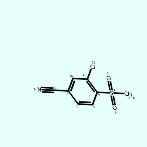 CS(=O)(=O)c1ccc(C#N)cc1Cl